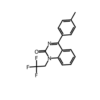 Cc1ccc(-c2nc(=O)n(CC(F)(F)F)c3ccccc23)cc1